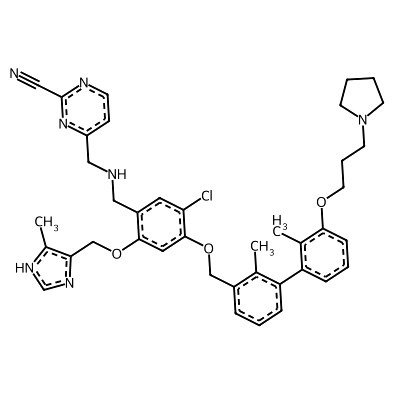 Cc1[nH]cnc1COc1cc(OCc2cccc(-c3cccc(OCCCN4CCCC4)c3C)c2C)c(Cl)cc1CNCc1ccnc(C#N)n1